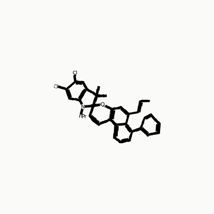 C/C=C/c1cc2c(c3cccc(-c4ccccc4)c13)C=CC1(O2)N(CCC)c2cc(Cl)c(Cl)cc2C1(C)C